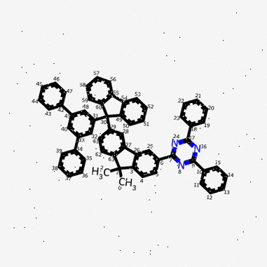 CC1(C)c2ccc(-c3nc(-c4ccccc4)nc(-c4ccccc4)n3)cc2-c2cc(C3(c4cc(-c5ccccc5)cc(-c5ccccc5)c4)c4ccccc4-c4ccccc43)ccc21